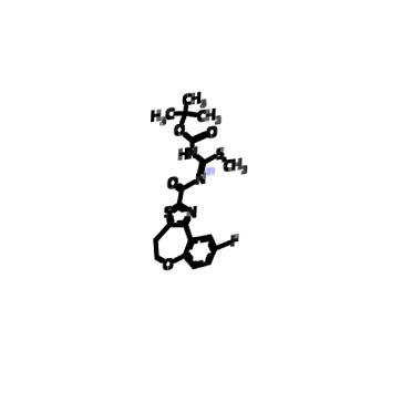 CS/C(=N/C(=O)c1nc2c(s1)CCOc1ccc(F)cc1-2)NC(=O)OC(C)(C)C